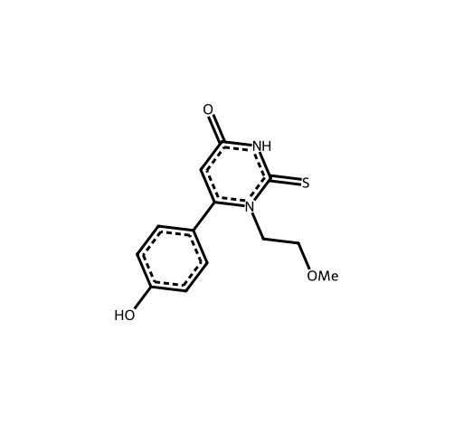 COCCn1c(-c2ccc(O)cc2)cc(=O)[nH]c1=S